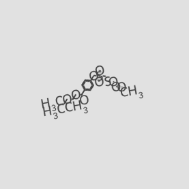 COOOSCS(=O)(=O)Oc1ccc(C(=O)OCOC(C)(C)C)cc1